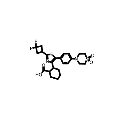 O=C(O)C1CCCCC1c1nc(C2CC(F)(F)C2)sc1-c1ccc(N2CCS(=O)(=O)CC2)cc1